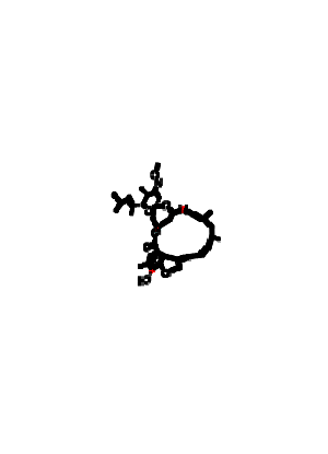 CO/N=C1/C[C@]2(C[C@@H]3C[C@@H](C/C=C(\C)C[C@@H](C)/C=C\C=C4/CO[C@@H]5[C@H](O)C(C)=C[C@@H](C(=O)O3)[C@]45O)O2)O[C@H](/C(C)=C/C(C)C)[C@H]1C